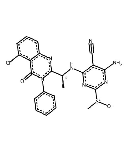 C[C@H](Nc1nc([S+](C)[O-])nc(N)c1C#N)c1nc2cccc(Cl)c2c(=O)n1-c1ccccc1